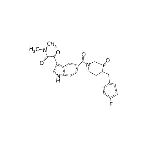 CN(C)C(=O)C(=O)c1c[nH]c2ccc(C(=O)N3CCC(Cc4ccc(F)cc4)C(=O)C3)cc12